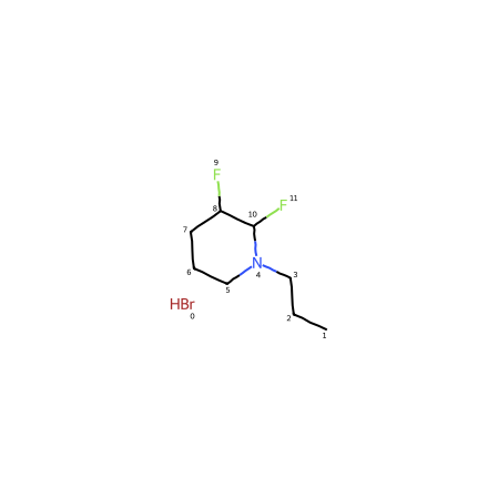 Br.CCCN1CCCC(F)C1F